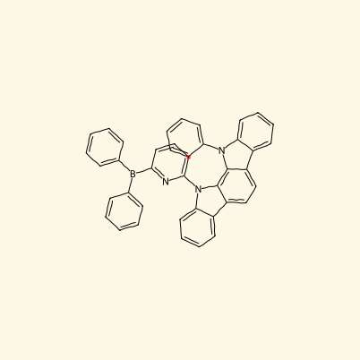 c1ccc(B(c2ccccc2)c2cccc(-n3c4ccccc4c4ccc5c6ccccc6n(-c6ccccc6)c5c43)n2)cc1